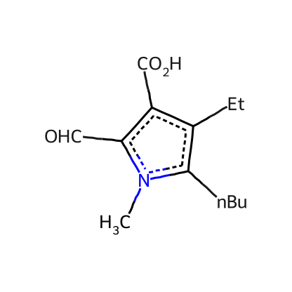 CCCCc1c(CC)c(C(=O)O)c(C=O)n1C